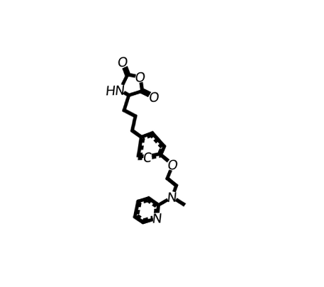 CN(CCOc1ccc(CCCC2NC(=O)OC2=O)cc1)c1ccccn1